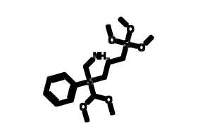 COC(OC)[Si](CN)(CCC[Si](OC)(OC)OC)c1ccccc1